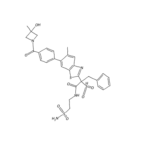 Cc1cc2nc(C(Cc3ccccc3)(C(=O)NCCS(N)(=O)=O)[SH](=O)=O)sc2cc1-c1ccc(C(=O)N2CC(C)(O)C2)cc1